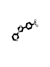 O=[N+]([O-])c1ccc(-c2cn(-c3cccnc3)cn2)cc1